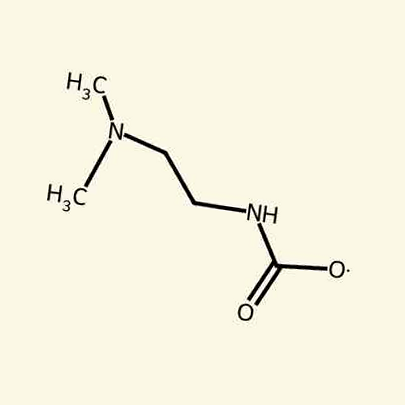 CN(C)CCNC([O])=O